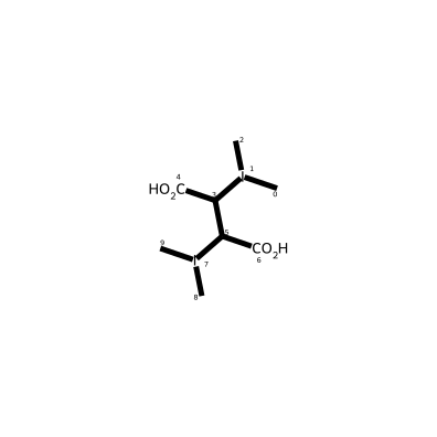 CI(C)C(C(=O)O)C(C(=O)O)I(C)C